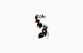 COCC12CC(n3cc(-n4ncc5cc(Cl)c(N6CC7CC(C6)C7(C)O)cc54)cn3)(C1)C2